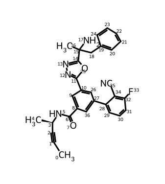 CC#C[C@@H](C)NC(=O)c1cc(-c2nnc(C(C)(N)Cc3ccccc3)o2)cc(-c2cccc(F)c2C#N)c1